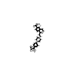 CN(C)C(=O)c1ccc(N2CCN(CCC3OCCc4cc(C(N)=O)ccc43)CC2)cc1